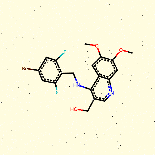 COc1cc2ncc(CO)c(NCc3c(F)cc(Br)cc3F)c2cc1OC